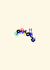 Cc1nc(NC(=O)c2cccc(C(F)(F)F)c2)sc1-c1ccc2c(C=Cc3ccccn3)n[nH]c2c1